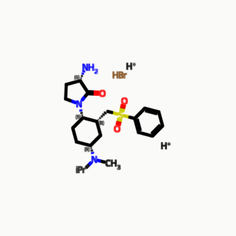 Br.CC(C)N(C)[C@@H]1CC[C@H](N2CC[C@H](N)C2=O)[C@H](CS(=O)(=O)c2ccccc2)C1.[H+].[H+]